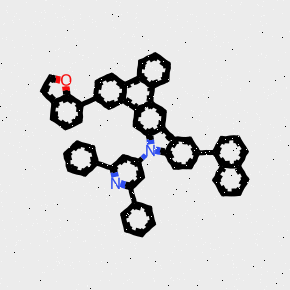 c1ccc(-c2cc(-n3c4ccc(-c5cccc6ccccc56)cc4c4cc5c6ccccc6c6ccc(-c7cccc8ccoc78)cc6c5cc43)cc(-c3ccccc3)n2)cc1